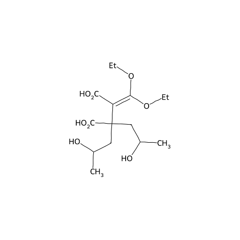 CCOC(OCC)=C(C(=O)O)C(CC(C)O)(CC(C)O)C(=O)O